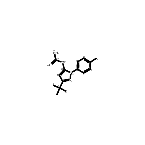 Cc1ccc(-n2nc(C(C)(C)C)cc2OC(N)=O)cc1